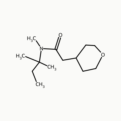 CCC(C)(C)N(C)C(=O)CC1CCOCC1